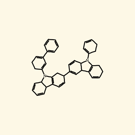 C1=CCCC(N2C3=C(C=CCC3)C3C=C(C4C=CC5=C(C4)N(C4=CC(c6ccccc6)=CCC4)C4C=CC=CC54)C=CC32)=C1